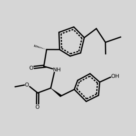 COC(=O)[C@H](Cc1ccc(O)cc1)NC(=O)[C@H](C)c1ccc(CC(C)C)cc1